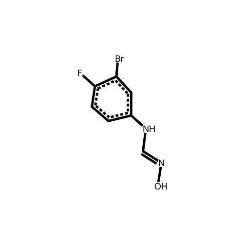 ON=CNc1ccc(F)c(Br)c1